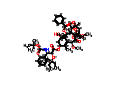 CC[Si](CC)(CC)O[C@@H](C(=O)O[C@H]1C[C@]2(O)[C@]3(C)C(=C1C)[C@@H](OC)C(=O)[C@]1(C)[C@@H](OC)C[C@H]4OC[C@@]4(OC(C)=O)[C@H]1[C@@]23OC(=O)c1ccccc1)[C@@H](NC(=O)OC(C)(C)C)c1ccccc1